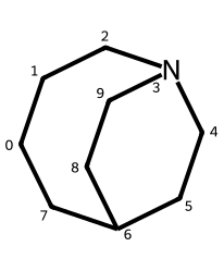 C1CCN2CCC(C1)CC2